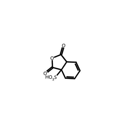 O=C1OC(=O)C2(S(=O)(=O)O)C=CC=CC12